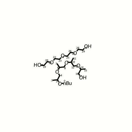 CCCCOC(C)COC(C)COC(C)COC(C)CO.OCCOCCOCCOCCO